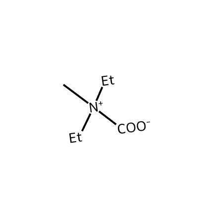 CC[N+](C)(CC)C(=O)[O-]